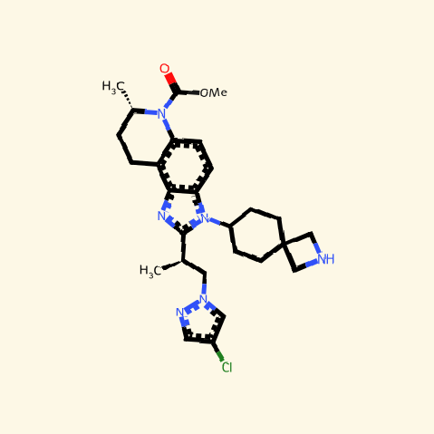 COC(=O)N1c2ccc3c(nc([C@H](C)Cn4cc(Cl)cn4)n3C3CCC4(CC3)CNC4)c2CC[C@@H]1C